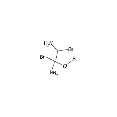 CCOC(N)(Br)C(N)Br